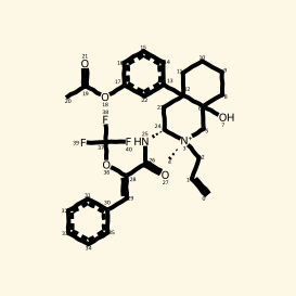 C=CC[N@+]1(C)CC2(O)CCCCC2(c2cccc(OC(C)=O)c2)C[C@H]1NC(=O)C(=Cc1ccccc1)OC(F)(F)F